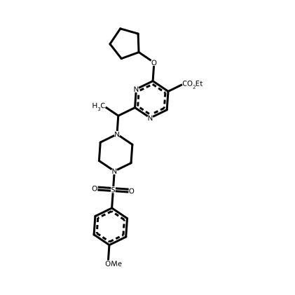 CCOC(=O)c1cnc(C(C)N2CCN(S(=O)(=O)c3ccc(OC)cc3)CC2)nc1OC1CCCC1